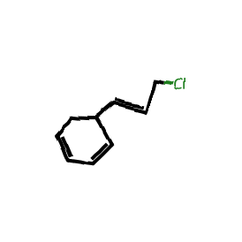 ClCC=CC1C=CC=CC1